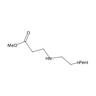 CCCCCCCNCCC(=O)OC